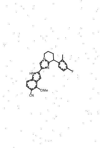 COc1c(C#N)ccc2[nH]c(-c3cn4c(n3)C(c3ccc(F)cc3C)CCC4)cc12